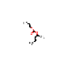 CCCOC(=O)OC(C)CCC